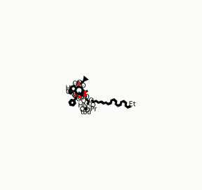 CC/C=C\C/C=C\C/C=C\C/C=C\C/C=C\C/C=C/CCC(=O)O[C@@H](C(=O)O[C@H]1C[C@@]2(O)[C@@H](OC(=O)c3ccccc3)C3[C@](C)(C(=O)[C@H](OC(=O)C4CC4)C(=C1C)C2(C)C)[C@@H](O)C[C@H]1OC[C@@]31OC(C)=O)[C@H](CC(C)C)NC(=O)OC(C)(C)C